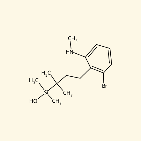 CNc1cccc(Br)c1CCC(C)(C)[Si](C)(C)O